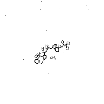 C.CCN(CC)C(=O)COc1cccc2c(C[C@@H](C)NC[C@H](O)c3ccc4cc3NS(=O)(=O)c3cccc(c3)CO4)c[nH]c12